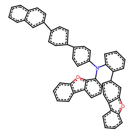 c1ccc(N(c2ccc(-c3ccc(-c4ccc5ccccc5c4)cc3)cc2)c2cccc3c2oc2ccccc23)c(-c2ccc3c(c2)oc2ccccc23)c1